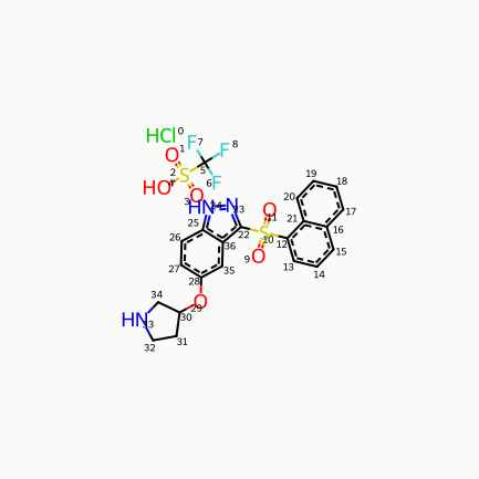 Cl.O=S(=O)(O)C(F)(F)F.O=S(=O)(c1cccc2ccccc12)c1n[nH]c2ccc(OC3CCNC3)cc12